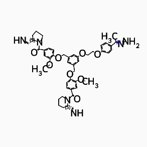 COc1cc(C(=O)N2CCCC[C@H]2C=N)ccc1OCc1cc(COc2ccc(C(=O)N3CCCC[C@H]3C=N)cc2OC)cc(OCCOc2ccc(/C(C)=N/N)cc2)c1